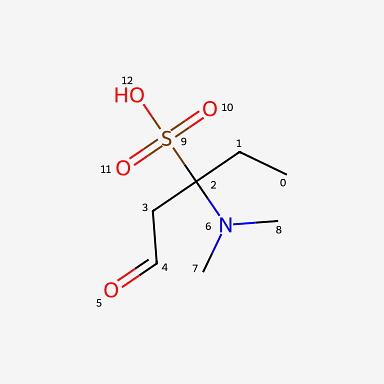 CCC(CC=O)(N(C)C)S(=O)(=O)O